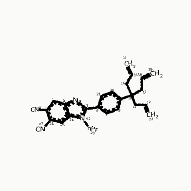 [C-]#[N+]c1cc2nc(-c3ccc(C(CC=C)(CC=C)CC=C)cc3)n(CCC)c2cc1[N+]#[C-]